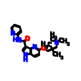 CN(C)CC(C)(C)COc1ccc2[nH]cc(C(=O)Nc3ccccn3)c2n1